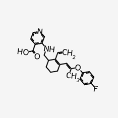 C=CC1=C(/C=C(\C)Oc2ccc(F)cc2)CCCC1CNc1cnccc1C(=O)O